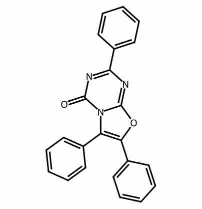 O=c1nc(-c2ccccc2)nc2oc(-c3ccccc3)c(-c3ccccc3)n12